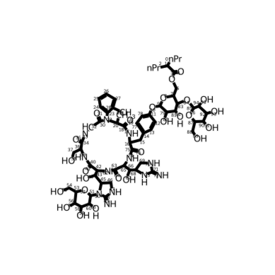 CCCC(CCC)C(=O)OCC1OC(Oc2ccc(CC3NC(=O)C(C)N(c4ccccc4C)C(=O)CNC(=O)C(CO)NC(=O)C(C(O)C4CNC(=N)N4C4OC(CO)C(O)C(O)C4O)NC(=O)C(C(O)C4CNC(=N)N4)NC3=O)cc2)C(O)C(O)C1OC1OC(CO)C(O)C(O)C1O